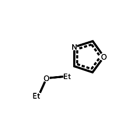 CCOCC.c1cocn1